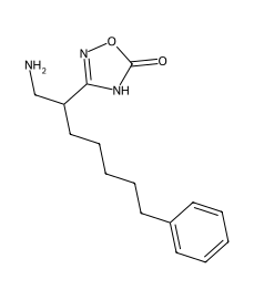 NCC(CCCCCc1ccccc1)c1noc(=O)[nH]1